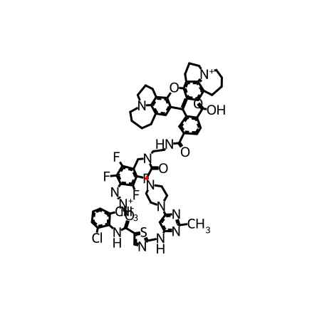 Cc1nc(Nc2ncc(C(=O)Nc3c(C)cccc3Cl)s2)cc(N2CCN(CC(=O)N(CCNC(=O)c3ccc(C(=O)O)c(C4=c5cc6c7c(c5Oc5c4cc4c8c5CCCN8CCCC4)CCC[N+]=7CCCC6)c3)Cc3c(F)c(F)c(N=[N+]=[N-])c(F)c3F)CC2)n1